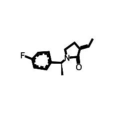 C/C=C1\CCN([C@@H](C)c2ccc(F)cc2)C1=O